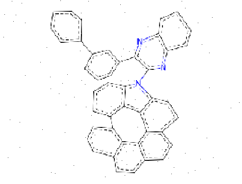 c1ccc(-c2cccc(-c3nc4ccccc4nc3-n3c4cccc5c4c4c6c(ccc7ccc8cccc-5c8c76)ccc43)c2)cc1